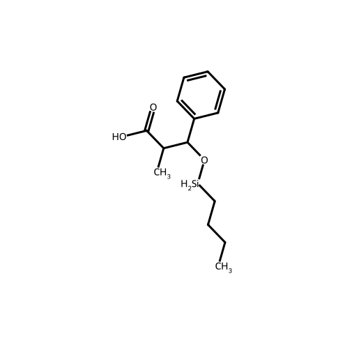 CCCC[SiH2]OC(c1ccccc1)C(C)C(=O)O